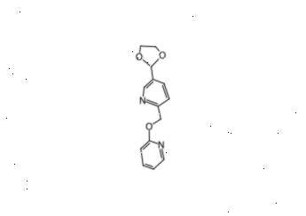 c1ccc(OCc2ccc(C3OCCO3)cn2)nc1